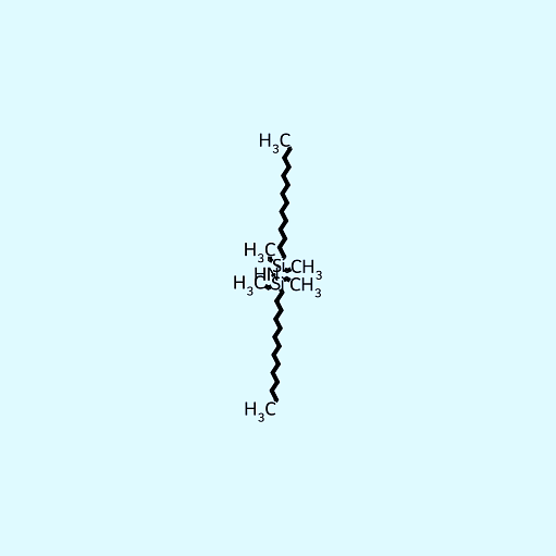 CCCCCCCCCCCCCC[Si](CC)(CC)N[Si](CC)(CC)CCCCCCCCCCCCCC